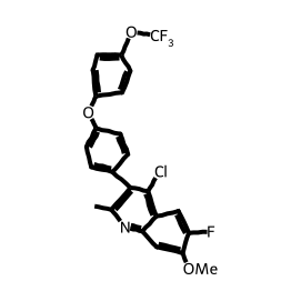 COc1cc2nc(C)c(-c3ccc(Oc4ccc(OC(F)(F)F)cc4)cc3)c(Cl)c2cc1F